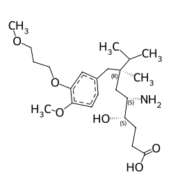 COCCCOc1cc(C[C@](C)(C[C@H](N)[C@@H](O)CCC(=O)O)C(C)C)ccc1OC